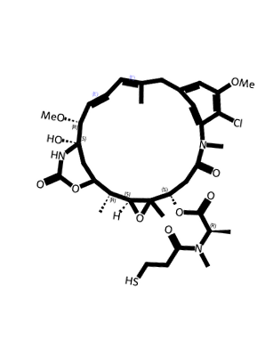 COc1cc2cc(c1Cl)N(C)C(=O)C[C@H](OC(=O)[C@@H](C)N(C)C(=O)CCS)C1(C)O[C@H]1[C@H](C)C1C[C@@](O)(NC(=O)O1)[C@H](OC)/C=C/C=C(\C)C2